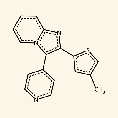 Cc1csc(-c2nc3ccccn3c2-c2ccncc2)c1